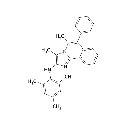 Cc1cc(C)c(Nc2nc3c4ccccc4c(-c4ccccc4)c(C)n3c2C)c(C)c1